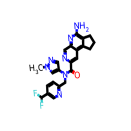 Cn1cc(N(Cc2ccc(C(F)F)cn2)C(=O)c2cc3c4c(c(N)nc3cn2)CCC4)cn1